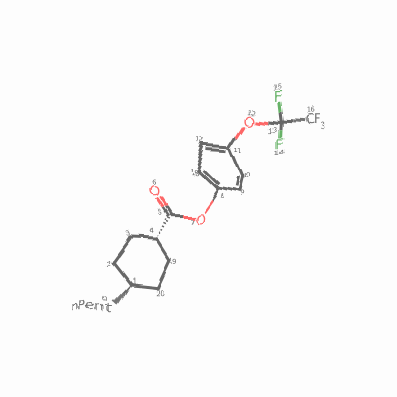 CCCCC[C@H]1CC[C@H](C(=O)Oc2ccc(OC(F)(F)C(F)(F)F)cc2)CC1